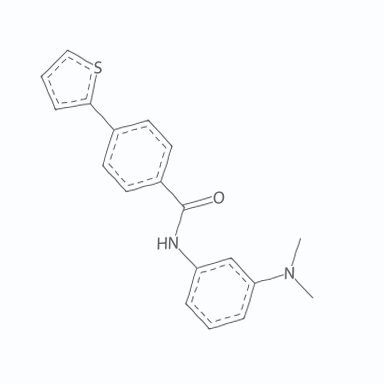 CN(C)c1cccc(NC(=O)c2ccc(-c3cccs3)cc2)c1